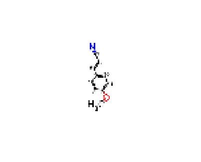 COc1ccc(C=CC#N)cc1